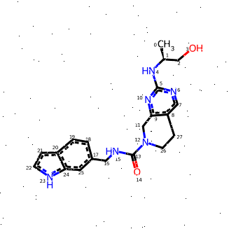 C[C@@H](CO)Nc1ncc2c(n1)CN(C(=O)NCc1ccc3cc[nH]c3c1)CC2